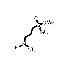 CCN(C)CCCS(=N)(=O)OC